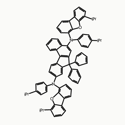 CC(C)c1ccc(N(c2ccc3c(c2)C(c2ccccc2)(c2ccccc2)c2cc(N(c4ccc(C(C)C)cc4)c4cccc5c4oc4c(C(C)C)cccc45)c4ccccc4c2-3)c2cccc3c2oc2c(C(C)C)cccc23)cc1